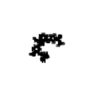 CCn1c(-c2cnc(OC)c(CN[SH](=O)=O)c2)nc2c(OC3CCN(C(=O)C4CC4)C3)ncnc21